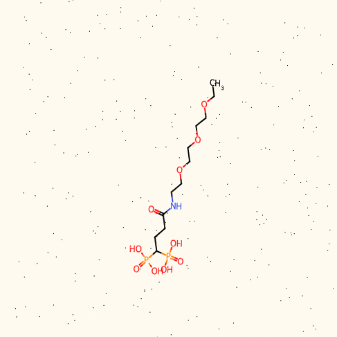 CCOCCOCCOCCNC(=O)CCC(P(=O)(O)O)P(=O)(O)O